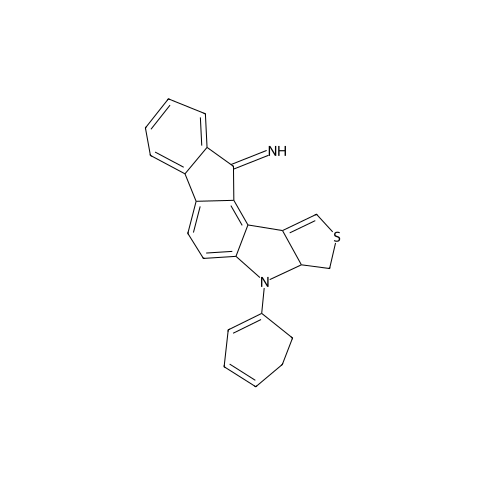 N=C1c2ccccc2-c2ccc3c(c21)C1=CSCC1N3C1=CC=CCC1